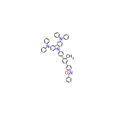 Cc1cc(-c2ccc3nc(-c4ccccc4)oc3c2)ccc1-c1ccc(-n2c3ccc(N(c4ccccc4)c4ccccc4)cc3c3cc(N(c4ccccc4)c4ccccc4)ccc32)cc1